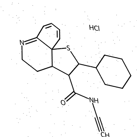 C#CNC(=O)C1C(C2CCCCC2)SC23C=CC=CC2=NCCC13.Cl